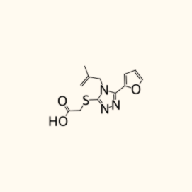 C=C(C)Cn1c(SCC(=O)O)nnc1-c1ccco1